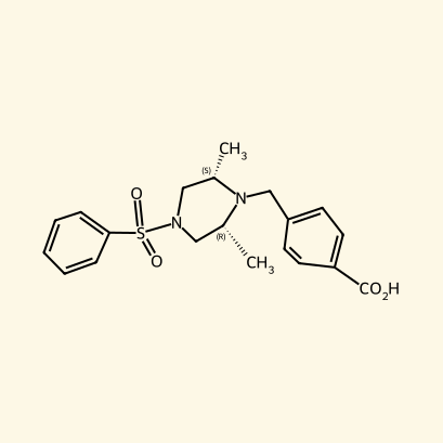 C[C@@H]1CN(S(=O)(=O)c2ccccc2)C[C@H](C)N1Cc1ccc(C(=O)O)cc1